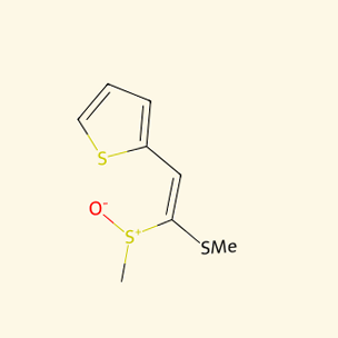 CSC(=Cc1cccs1)[S+](C)[O-]